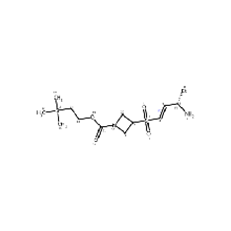 CC[C@H](N)/C=C/S(=O)(=O)C1CN(C(=O)OCC[Si](C)(C)C)C1